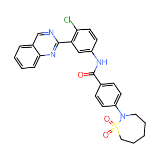 O=C(Nc1ccc(Cl)c(-c2ncc3ccccc3n2)c1)c1ccc(N2CCCCCS2(=O)=O)cc1